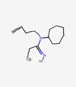 C=CCCN(C(CC#N)=NC#N)C1CCCCCC1